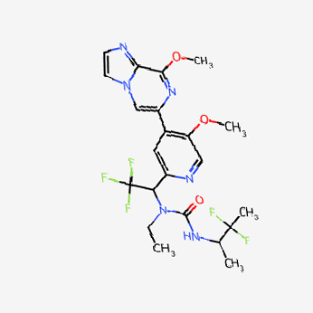 CCN(C(=O)NC(C)C(C)(F)F)C(c1cc(-c2cn3ccnc3c(OC)n2)c(OC)cn1)C(F)(F)F